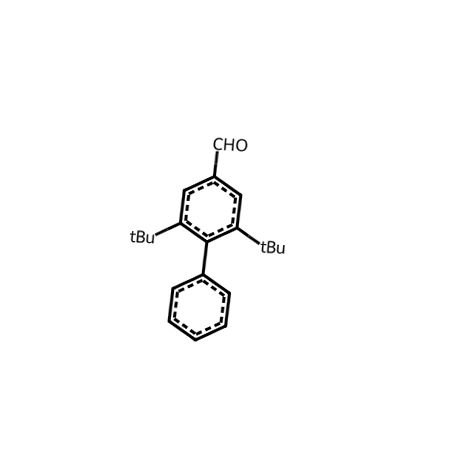 CC(C)(C)c1cc(C=O)cc(C(C)(C)C)c1-c1ccccc1